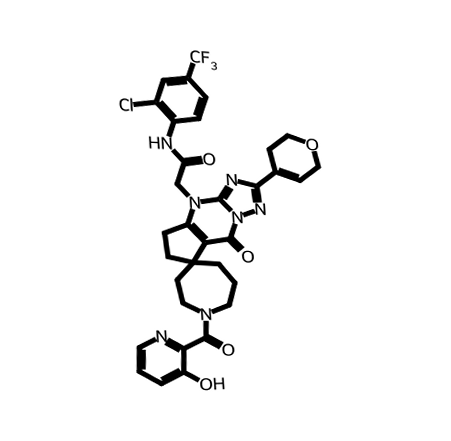 O=C(Cn1c2c(c(=O)n3nc(C4=CCOCC4)nc13)C1(CCCN(C(=O)c3ncccc3O)CC1)CC2)Nc1ccc(C(F)(F)F)cc1Cl